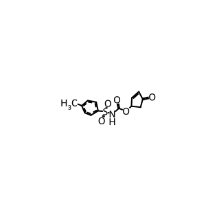 Cc1ccc(S(=O)(=O)NC(=O)OC2C=CC(=O)C2)cc1